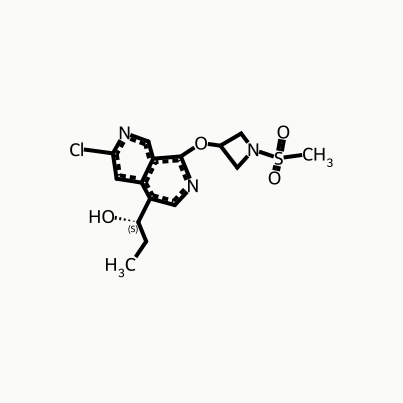 CC[C@H](O)c1cnc(OC2CN(S(C)(=O)=O)C2)c2cnc(Cl)cc12